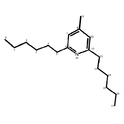 CCCCCCc1cc(C)cc(CCCCCC)n1